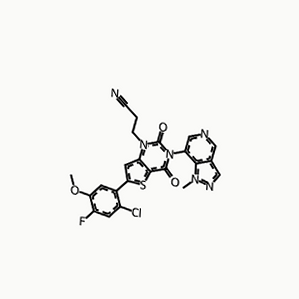 COc1cc(-c2cc3c(s2)c(=O)n(-c2cncc4cnn(C)c24)c(=O)n3CCC#N)c(Cl)cc1F